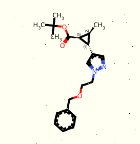 C[C@@H]1[C@H](C(=O)OC(C)(C)C)[C@H]1c1cnn(CCOCc2ccccc2)c1